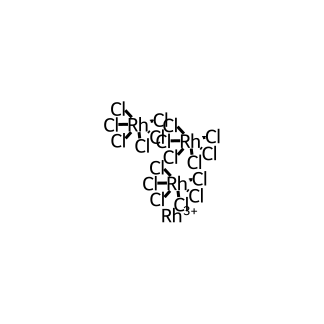 [Cl][Rh-]([Cl])([Cl])([Cl])([Cl])[Cl].[Cl][Rh-]([Cl])([Cl])([Cl])([Cl])[Cl].[Cl][Rh-]([Cl])([Cl])([Cl])([Cl])[Cl].[Rh+3]